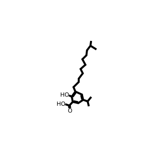 CC(C)CCCCCCCCCc1cc(C(C)C)cc(C(=O)O)c1O